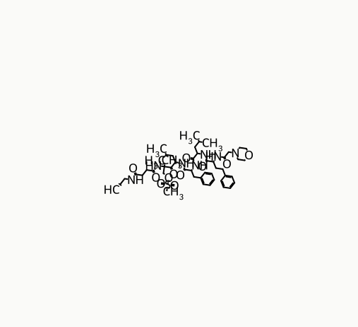 C#CCNC(=O)CCC(=O)NC(C)(COS(C)(=O)=O)C(=O)C(CC(C)C)NC(=O)C(Cc1ccccc1)NC(=O)C(CC(C)C)NC(=O)C(CCc1ccccc1)NC(=O)CN1CCOCC1